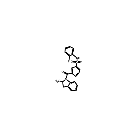 CC1Cc2ccccc2N1C(=O)c1cccc(S(=O)(=O)Nc2ccccc2F)c1